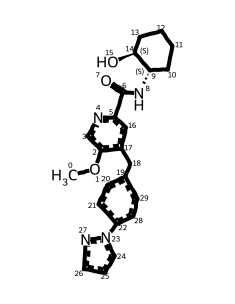 COc1cnc(C(=O)N[C@H]2CCCC[C@@H]2O)cc1Cc1ccc(-n2cccn2)cc1